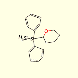 [SiH3][Si](c1ccccc1)(c1ccccc1)C1CCCCO1